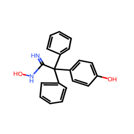 N=C(NO)C(c1ccccc1)(c1ccccc1)c1ccc(O)cc1